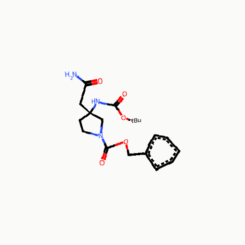 CC(C)(C)OC(=O)NC1(CC(N)=O)CCN(C(=O)OCc2ccccc2)C1